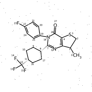 CC1CSc2c1nc([C@H]1CC[C@@H](C(F)(F)F)CC1)n(-c1ccc(F)cc1)c2=O